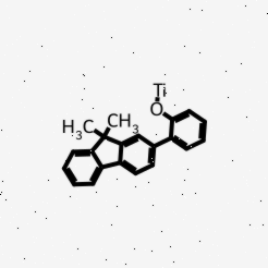 CC1(C)c2ccccc2-c2ccc(-c3ccccc3[O][Ti])cc21